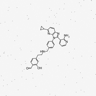 Nc1ncccc1-c1nc2ccc(C3CC3)nc2n1-c1ccc(CNCCc2ccc(C=O)c(O)c2)cc1